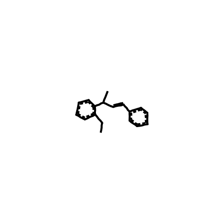 CCc1ccccc1C(C)C=Cc1ccccc1